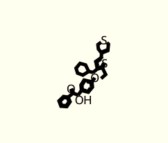 CCc1sc(C2=CCSCC2)cc1C(Oc1ccc(C(O)C(=O)c2ccccc2)cc1)C1CCCCC1